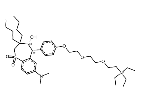 CCCCC1(CCCC)CS(=O)(=O)c2ccc(N(C)C)cc2[C@@H](c2ccc(OCCOCCOCC[N+](CC)(CC)CC)cc2)[C@H]1O